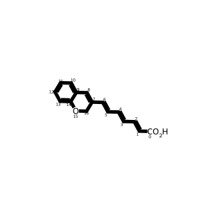 O=C(O)C=CC=CC=CC1=Cc2ccccc2OC1